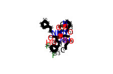 CCCCS(=O)(=O)CC(NC(=O)c1cccnc1)C(=O)N[C@@H](Cc1cc(F)cc(F)c1)[C@@H](O)[C@@H](OCCS(C)(=O)=O)C(=O)NCCc1ccccc1